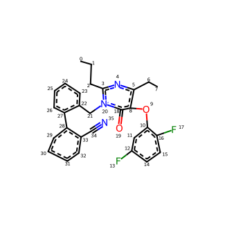 CCCc1nc(CC)c(Oc2cc(F)ccc2F)c(=O)n1Cc1ccccc1-c1ccccc1C#N